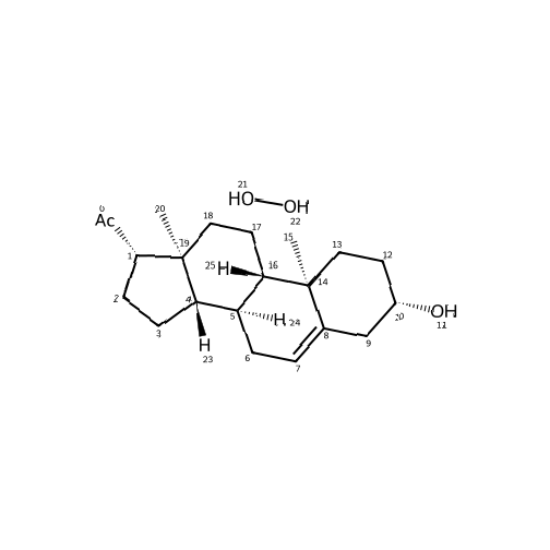 CC(=O)[C@H]1CC[C@H]2[C@@H]3CC=C4C[C@@H](O)CC[C@]4(C)[C@H]3CC[C@]12C.OO